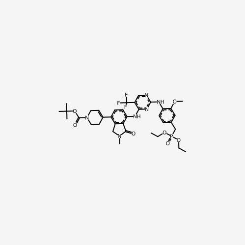 CCOP(=O)(Cc1ccc(Nc2ncc(C(F)(F)F)c(Nc3ccc(C4=CCN(C(=O)OC(C)(C)C)CC4)c4c3C(=O)N(C)C4)n2)c(OC)c1)OCC